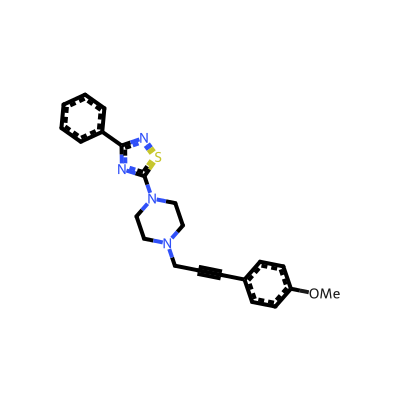 COc1ccc(C#CCN2CCN(c3nc(-c4ccccc4)ns3)CC2)cc1